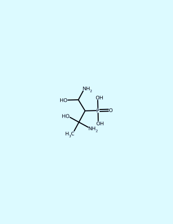 CC(N)(O)C(C(N)O)P(=O)(O)O